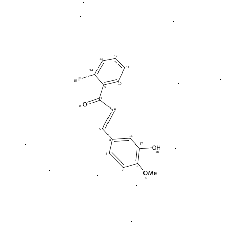 COc1ccc(/C=C/C(=O)c2ccccc2F)cc1O